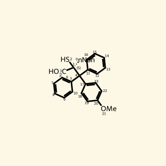 CCCCCCCCC[C@@](S)(C(=O)O)C(c1ccccc1)(c1ccccc1)c1ccc(OC)cc1